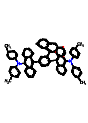 Cc1ccc(N(c2ccc(C)cc2)c2c3ccccc3c(-c3ccc(-c4c5ccccc5c(N(c5ccc(C)cc5)c5ccc(C)cc5)c5ccccc45)c(-c4c5ccccc5cc5ccccc45)c3)c3ccccc23)cc1